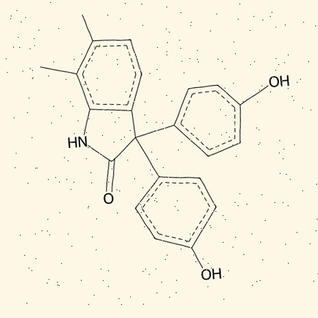 Cc1ccc2c(c1C)NC(=O)C2(c1ccc(O)cc1)c1ccc(O)cc1